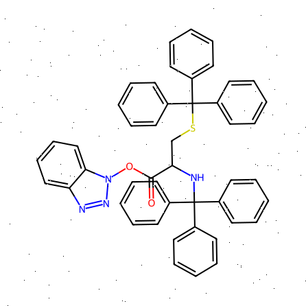 O=C(On1nnc2ccccc21)C(CSC(c1ccccc1)(c1ccccc1)c1ccccc1)NC(c1ccccc1)(c1ccccc1)c1ccccc1